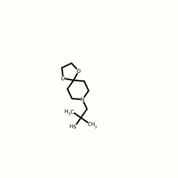 CC(C)(S)CN1CCC2(CC1)OCCO2